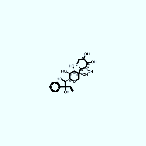 C=CC(O)(c1ccccc1)C(O)[C@H]1OC[C@@](O)([C@@H]2OC[C@@H](O)[C@@H](O)[C@@H]2O)[C@@H](O)[C@@H]1O